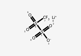 O=S(=O)([O-])S(=O)(=O)C(F)(F)F.[Li+]